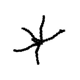 C=CCCCCCCCCCCCCCCCCC(CCC=C)C(CCCCCCCCCCCCCCCCC=C)C(CCCCCCCCCCCCCCCCC=C)C(CCCCCCCCCCCCCCCCC=C)C(CCCCCCCCC)CCCCCCCCCCCCCCCC(=C)C